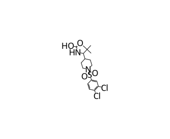 CC(C)(C)C(NC(=O)O)C1CCN(S(=O)(=O)c2ccc(Cl)c(Cl)c2)CC1